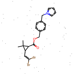 CC1(C)C(C=C(Br)Br)C1C(=O)OCc1ccc(Cn2cccc2)cc1